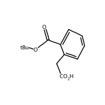 CC(C)(C)OC(=O)c1ccccc1CC(=O)O